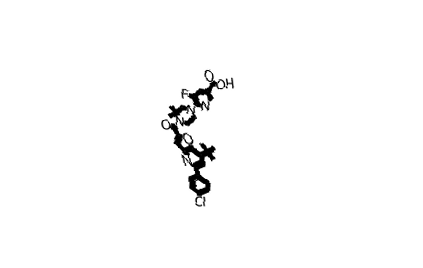 CC(C)(C)c1cc(-c2ccc(Cl)cc2)nc2cc(C(=O)N3CCN(c4ncc(C(=O)O)cc4F)CC3(C)C)oc12